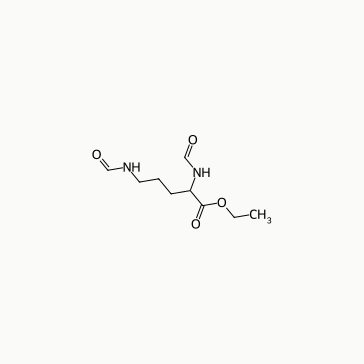 CCOC(=O)C(CCCNC=O)NC=O